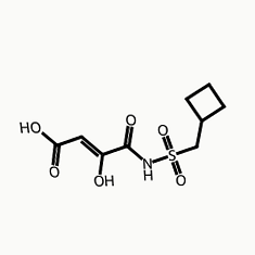 O=C(O)C=C(O)C(=O)NS(=O)(=O)CC1CCC1